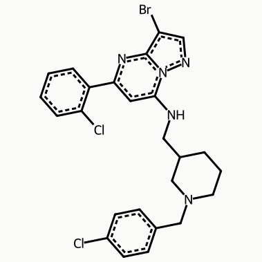 Clc1ccc(CN2CCCC(CNc3cc(-c4ccccc4Cl)nc4c(Br)cnn34)C2)cc1